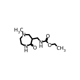 CCOC(=O)NCC1CN(C)CCNC1=O